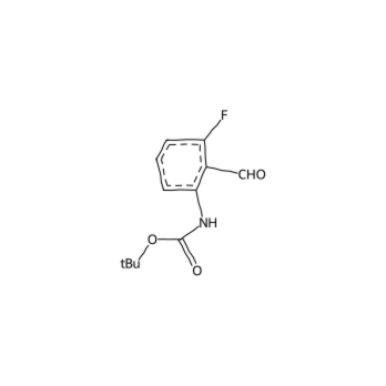 CC(C)(C)OC(=O)Nc1cccc(F)c1C=O